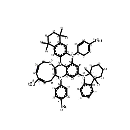 CC(C)(C)C1=CCC(N2c3cc4c(cc3B3C5=C(C/C=C(C(C)(C)C)\C=C/CS5)N(c5ccc(C(C)(C)C)cc5)c5cc(N6c7ccccc7C7(C)CCCCC67C)cc2c53)C(C)(C)CCC4(C)C)C=C1